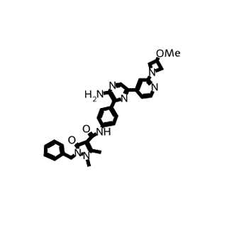 COC1CN(c2cc(-c3cnc(N)c(-c4ccc(NC(=O)c5c(C)n(C)n(Cc6ccccc6)c5=O)cc4)n3)ccn2)C1